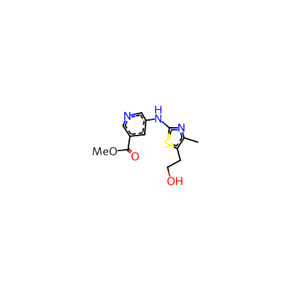 COC(=O)c1cncc(Nc2nc(C)c(CCO)s2)c1